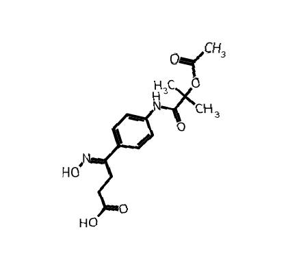 CC(=O)OC(C)(C)C(=O)Nc1ccc(/C(CCC(=O)O)=N/O)cc1